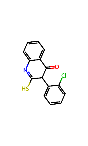 O=C1c2ccccc2N=C(S)C1c1ccccc1Cl